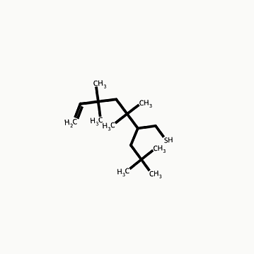 C=CC(C)(C)CC(C)(C)C(CS)CC(C)(C)C